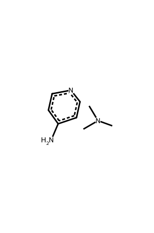 CN(C)C.Nc1ccncc1